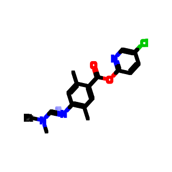 CCN(C)/C=N/c1cc(C)c(C(=O)Oc2ccc(Cl)cn2)cc1C